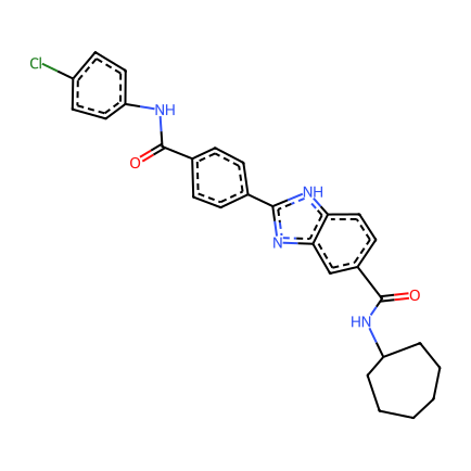 O=C(Nc1ccc(Cl)cc1)c1ccc(-c2nc3cc(C(=O)NC4CCCCCC4)ccc3[nH]2)cc1